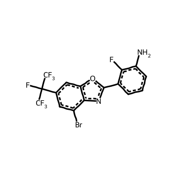 Nc1cccc(-c2nc3c(Br)cc(C(F)(C(F)(F)F)C(F)(F)F)cc3o2)c1F